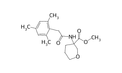 COC(=O)C1(NC(=O)Cc2c(C)cc(C)cc2C)CCCOC1